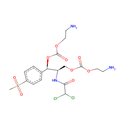 CS(=O)(=O)c1ccc([C@@H](OC(=O)OCCN)[C@@H](COC(=O)OCCN)NC(=O)C(Cl)Cl)cc1